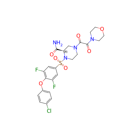 NC(=O)[C@H]1CN(C(=O)C(=O)N2CCOCC2)CCN1S(=O)(=O)c1cc(F)c(Oc2ccc(Cl)cc2)c(F)c1